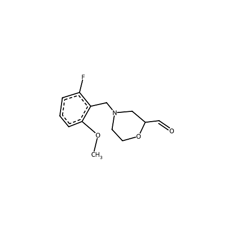 COc1cccc(F)c1CN1CCOC(C=O)C1